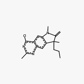 C=C1N(C)c2cc3c(Cl)nc(C)nc3cc2C1(C)CCC